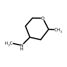 CNC1CCOC(C)C1